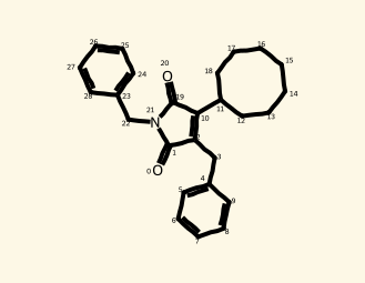 O=C1C(Cc2ccccc2)=C(C2CCCCCCC2)C(=O)N1Cc1ccccc1